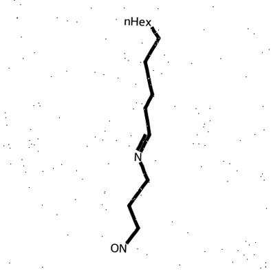 CCCCCCCCCCC=NCCCN=O